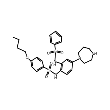 CCCCOc1ccc(S(=O)(=O)Nc2ccc(N3CCCNCC3)cc2NS(=O)(=O)c2ccccc2)cc1